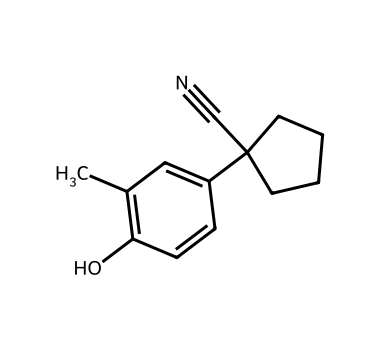 Cc1cc(C2(C#N)CCCC2)ccc1O